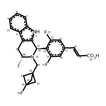 C[C@@H]1Cc2c([nH]c3ccccc23)[C@@H](c2c(F)cc(/C=C/C(=O)O)cc2F)N1CC12CC(F)(C1)C2